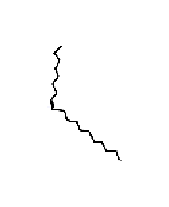 [CH2]CCCCCCCCC/C=C\CCCCCCC